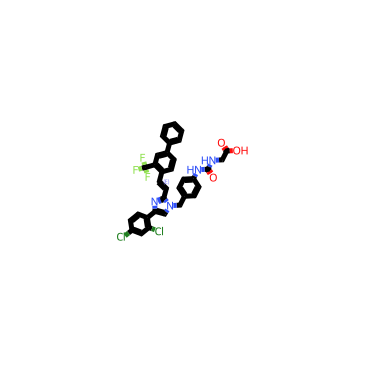 O=C(O)CNC(=O)Nc1ccc(Cn2cc(-c3ccc(Cl)cc3Cl)nc2/C=C/c2ccc(-c3ccccc3)cc2C(F)(F)F)cc1